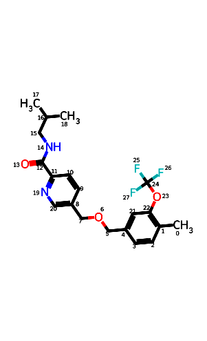 Cc1ccc(COCc2ccc(C(=O)NCC(C)C)nc2)cc1OC(F)(F)F